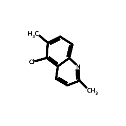 Cc1ccc2c(Cl)c(C)ccc2n1